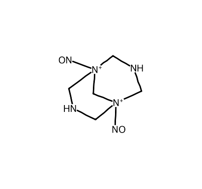 O=N[N+]12CNC[N+](N=O)(CNC1)C2